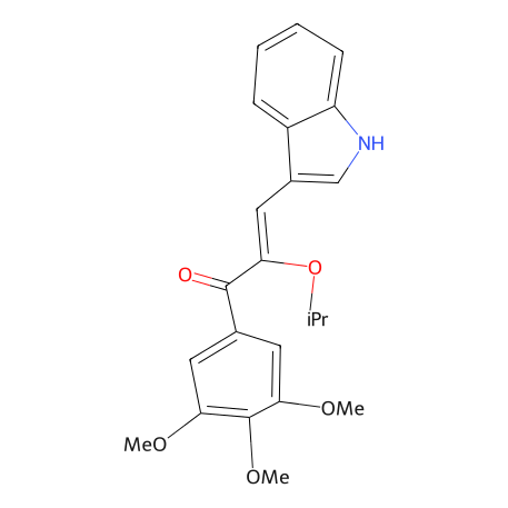 COc1cc(C(=O)C(=Cc2c[nH]c3ccccc23)OC(C)C)cc(OC)c1OC